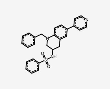 O=S(=O)(NC1Cc2cc(-c3ccncc3)ccc2N(Cc2ccccc2)C1)c1ccccc1